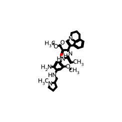 C\C=C(/N=C(\C(=C/C)C(=O)OC)c1cn2c3c(cccc13)CCC2)Nc1cc(N)c(NCC2CCCN2C)cc1OC